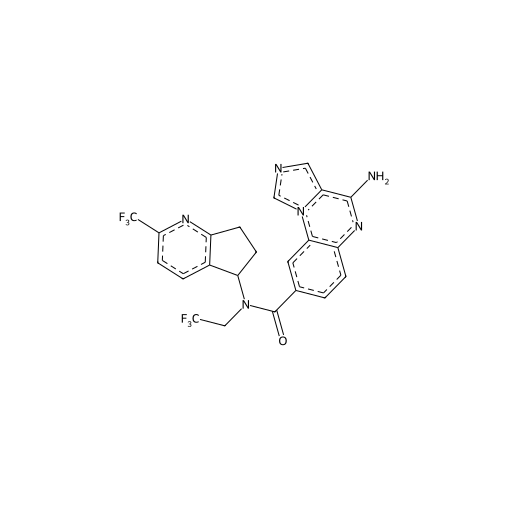 Nc1nc2ccc(C(=O)N(CC(F)(F)F)C3CCc4nc(C(F)(F)F)ccc43)cc2n2cncc12